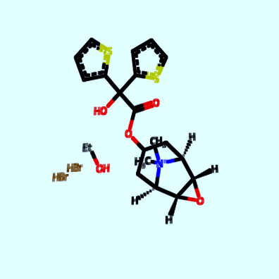 Br.Br.CCO.C[N+]1(C)[C@@H]2CC(OC(=O)C(O)(c3cccs3)c3cccs3)C[C@H]1[C@@H]1O[C@@H]12